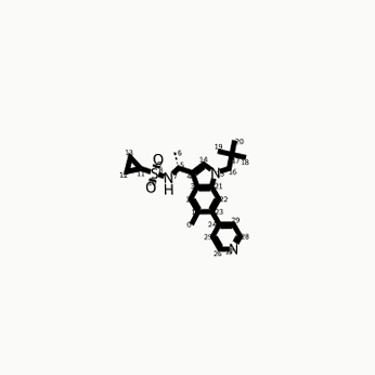 Cc1cc2c([C@@H](C)NS(=O)(=O)C3CC3)cn(CC(C)(C)C)c2cc1-c1ccncc1